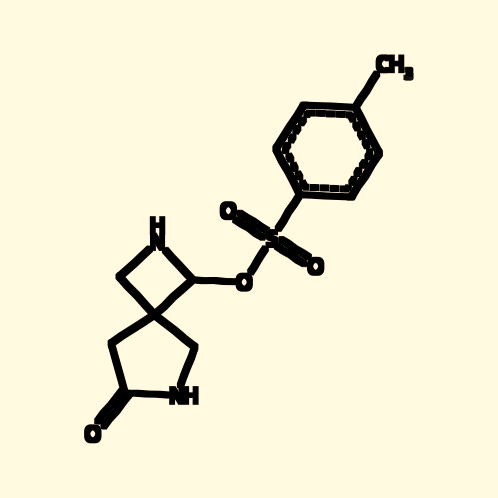 Cc1ccc(S(=O)(=O)OC2NCC23CNC(=O)C3)cc1